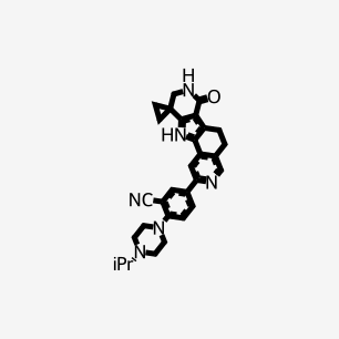 CC(C)N1CCN(c2ccc(-c3cc4c(cn3)CCc3c-4[nH]c4c3C(=O)NCC43CC3)cc2C#N)CC1